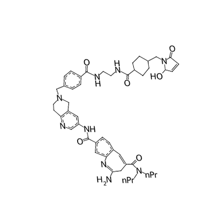 CCCN(CCC)C(=O)C1=Cc2ccc(C(=O)Nc3cnc4c(c3)CN(Cc3ccc(C(=O)NCCNC(=O)C5CCC(CN6C(=O)C=CC6O)CC5)cc3)CC4)cc2N=C(N)C1